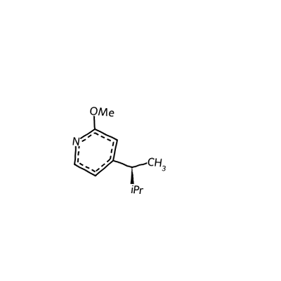 COc1cc([C@@H](C)C(C)C)ccn1